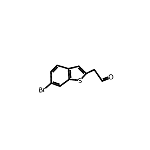 O=CCc1cc2ccc(Br)cc2s1